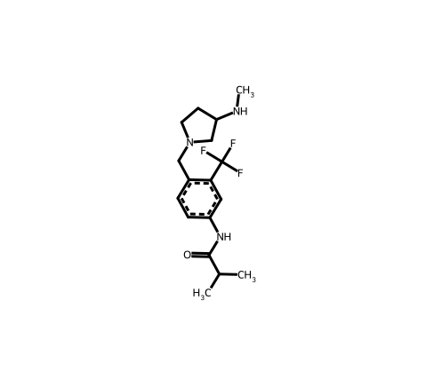 CNC1CCN(Cc2ccc(NC(=O)C(C)C)cc2C(F)(F)F)C1